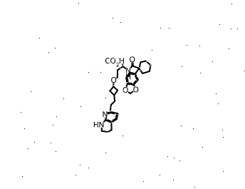 O=C(O)[C@H](CCOC1CC(CCc2ccc3c(n2)NCCC3)C1)NC(=O)C1(c2ccc3c(c2)OCO3)CCCCC1